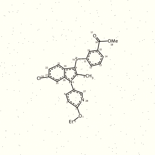 CCOc1ccc(-n2c(C)c(Sc3cccc(C(=O)OC)c3)c3ccc(Cl)cc32)cn1